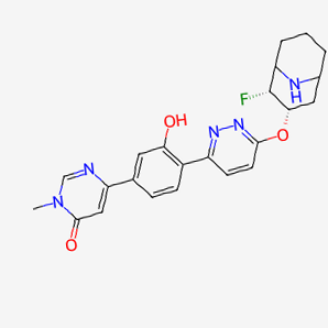 Cn1cnc(-c2ccc(-c3ccc(O[C@H]4CC5CCCC(N5)[C@H]4F)nn3)c(O)c2)cc1=O